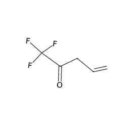 C=CCC(=O)C(F)(F)F